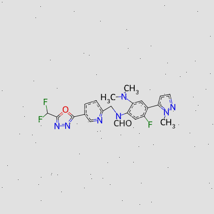 CN(C)c1cc(-c2ccnn2C)c(F)cc1N(C=O)Cc1ccc(-c2nnc(C(F)F)o2)cn1